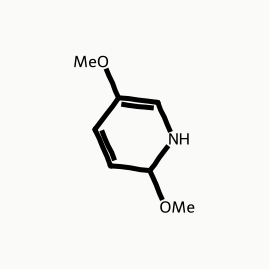 CO[C]1C=CC(OC)=CN1